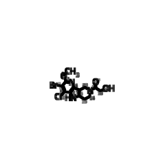 COc1nc2c3c([nH]c2c(Cl)c1Br)CCN(C(=O)CO)C3